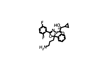 NCCCC1(c2ccccc2)OC(c2cc(F)ccc2F)=NN1C(=O)[C@@H](O)C1CC1